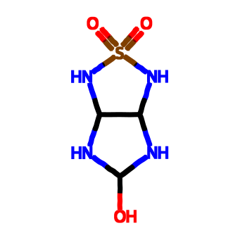 O=S1(=O)NC2NC(O)NC2N1